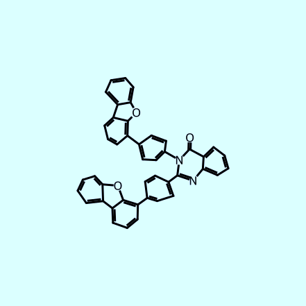 O=c1c2ccccc2nc(-c2ccc(-c3cccc4c3oc3ccccc34)cc2)n1-c1ccc(-c2cccc3c2oc2ccccc23)cc1